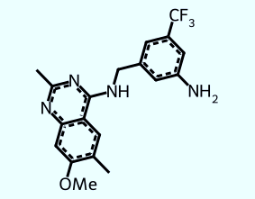 COc1cc2nc(C)nc(NCc3cc(N)cc(C(F)(F)F)c3)c2cc1C